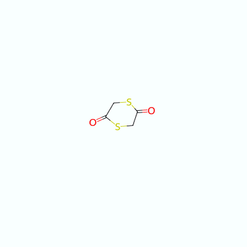 O=C1CSC(=O)CS1